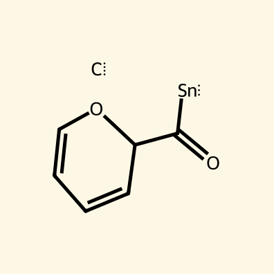 O=[C]([Sn])C1C=CC=CO1.[C]